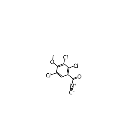 [C-]#[N+]C(=O)c1cc(Cl)c(OC)c(Cl)c1Cl